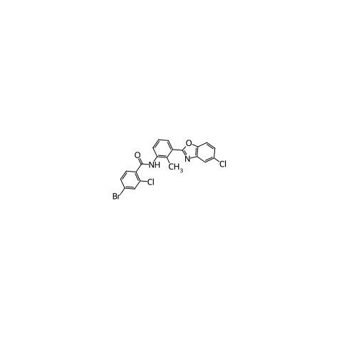 Cc1c(NC(=O)c2ccc(Br)cc2Cl)cccc1-c1nc2cc(Cl)ccc2o1